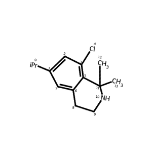 CC(C)c1cc(Cl)c2c(c1)CCNC2(C)C